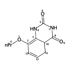 CCCOC1=C2NC(=O)NC(=O)C2CC=C1